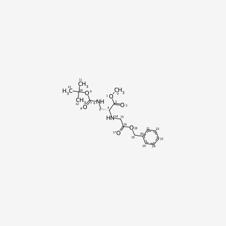 COC(=O)[C@@H](CNC(=O)OC(C)(C)C)NCC(=O)OCc1ccccc1